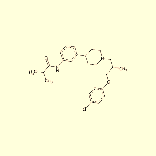 CC(C)C(=O)Nc1cccc(C2CCN(C[C@H](C)COc3ccc(Cl)cc3)CC2)c1